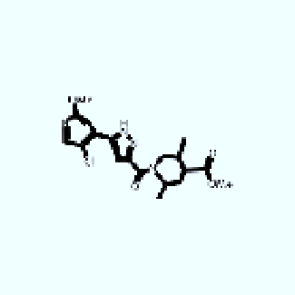 COC(=O)C1CC(C)N(C(=O)c2cc(-c3cc(OC)ncc3Cl)[nH]n2)CC1C